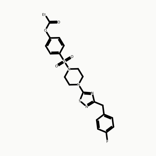 CCC(=O)Oc1ccc(S(=O)(=O)N2CCN(c3nc(Cc4ccc(F)cc4)ns3)CC2)cc1